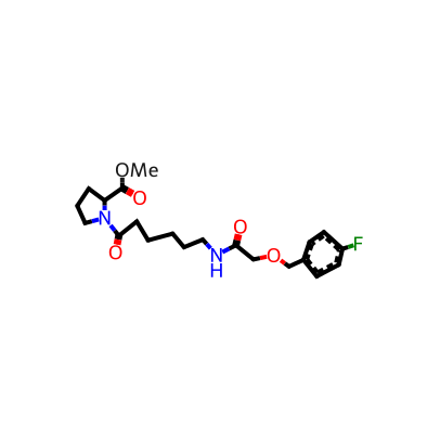 COC(=O)C1CCCN1C(=O)CCCCCNC(=O)COCc1ccc(F)cc1